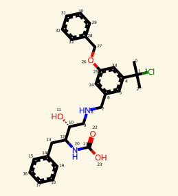 CC(C)(Cl)c1cc(CNC[C@@H](O)C(Cc2ccccc2)NC(=O)O)cc(OCc2ccccc2)c1